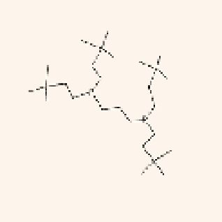 CC(C)(C)CCP(CCCP(CCC(C)(C)C)CCC(C)(C)C)CCC(C)(C)C